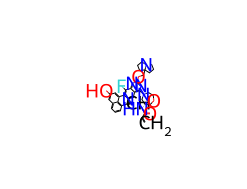 C#Cc1cccc2cc(O)cc(-c3ncc4c(N5CCOC[C@H](NC(=O)C=C)C5)nc(OCC56CCCN5CCC6)nc4c3F)c12